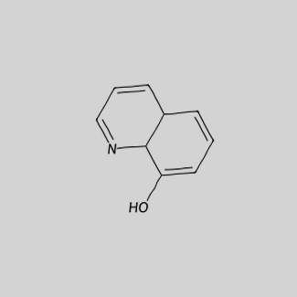 OC1=CC=CC2C=CC=NC12